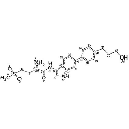 CS(=O)(=O)CC[C@@H](N)C(=O)Nc1c[nH]c2cc(-c3ccc(CCCO)cc3)ccc12